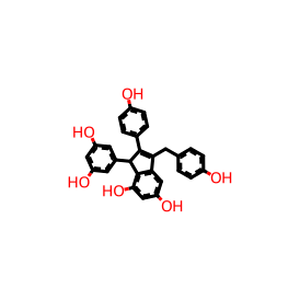 Oc1ccc(CC2=C(c3ccc(O)cc3)C(c3cc(O)cc(O)c3)c3c(O)cc(O)cc32)cc1